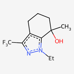 CCn1nc(C(F)(F)F)c2c1C(C)(O)CCC2